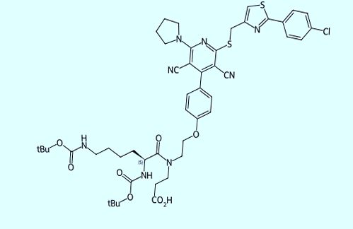 CC(C)(C)OC(=O)NCCCC[C@H](NC(=O)OC(C)(C)C)C(=O)N(CCOc1ccc(-c2c(C#N)c(SCc3csc(-c4ccc(Cl)cc4)n3)nc(N3CCCC3)c2C#N)cc1)CCC(=O)O